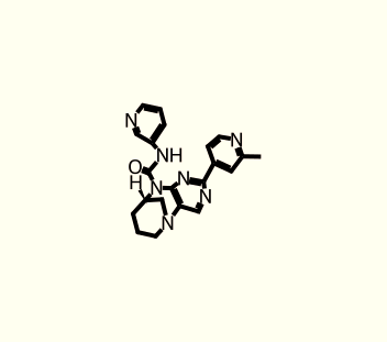 Cc1cc(-c2ncc3c(n2)N(C(=O)Nc2cccnc2)[C@H]2CCCN3C2)ccn1